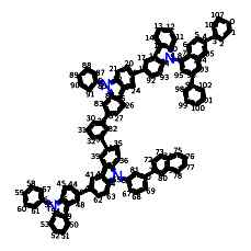 c1ccc(-c2ccc3c(-n4c5ccccc5c5cc(-c6ccc7c(c6)c6ccc(-c8cccc(-c9ccc%10c(c9)c9cc(-c%11ccc%12c(c%11)c%11ccccc%11n%12-c%11ccccc%11)ccc9n%10-c9cccc(-c%10ccc%11ccccc%11c%10)c9)c8)cc6n7-c6ccccc6)ccc54)cc(-c4ccccc4)cc3c2)cc1